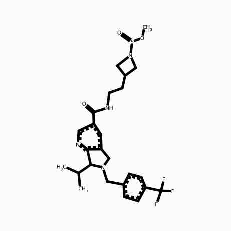 COS(=O)N1CC(CCNC(=O)c2cnc3c(c2)CN(Cc2ccc(C(F)(F)F)cc2)C3C(C)C)C1